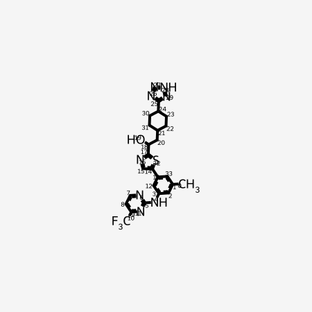 Cc1cc(Nc2nccc(C(F)(F)F)n2)cc(-c2cnc(C(O)CC3CCC(c4nn[nH]n4)CC3)s2)c1